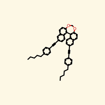 CCCCCc1ccc(C#Cc2ccc3c4c(ccc3c2)OCOc2ccc3cc(C#Cc5ccc(CCCCC)cc5)ccc3c2-4)cc1